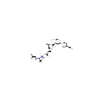 CC(C)=C/C(Cl)=C(\C=C(/C)NC(=O)c1cnc(C(C)NC(=O)c2cc(N3CCC(C#N)CC3)ncn2)s1)C(F)(F)F